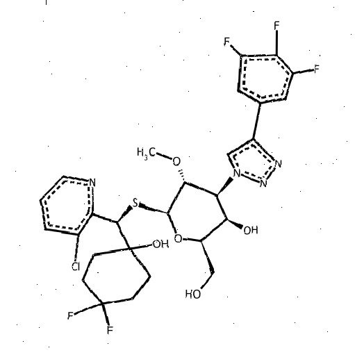 CO[C@@H]1[C@@H](n2cc(-c3cc(F)c(F)c(F)c3)nn2)[C@@H](O)[C@@H](CO)O[C@H]1S[C@H](c1ncccc1Cl)C1(O)CCC(F)(F)CC1